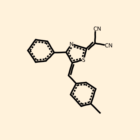 Cc1ccc(/C=c2\sc(=C(C#N)C#N)nc2-c2ccccc2)cc1